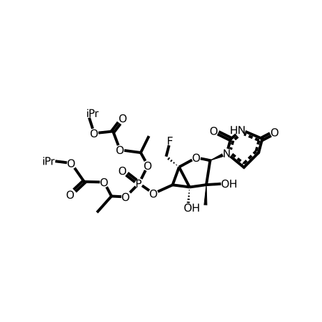 CC(C)OC(=O)OC(C)OP(=O)(OC(C)OC(=O)OC(C)C)OC1[C@]2(O)[C@@](C)(O)[C@H](n3ccc(=O)[nH]c3=O)O[C@]12CF